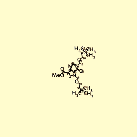 COC(=O)c1cn(COCC[Si](C)(C)C)c2c(=O)n(COCC[Si](C)(C)C)cnc12